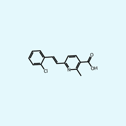 Cc1nc(C=Cc2ccccc2Cl)ccc1C(=O)O